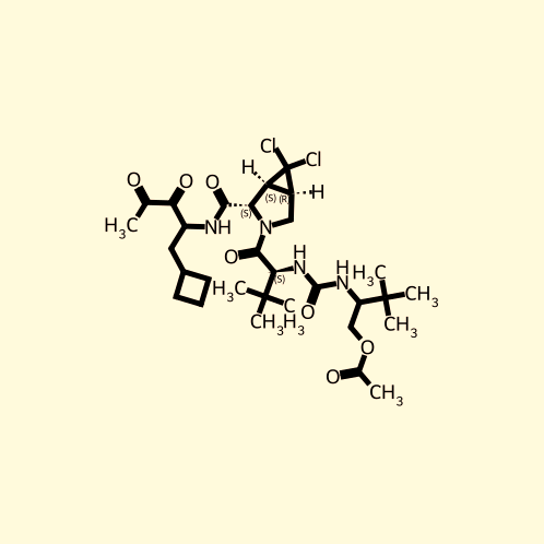 CC(=O)OCC(NC(=O)N[C@H](C(=O)N1C[C@H]2[C@@H]([C@H]1C(=O)NC(CC1CCC1)C(=O)C(C)=O)C2(Cl)Cl)C(C)(C)C)C(C)(C)C